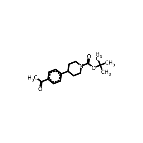 CC(=O)c1ccc(C2CCN(C(=O)OC(C)(C)C)CC2)cc1